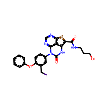 O=C(NCCCO)c1sc2ncnc3c2c1NC(=O)N3c1ccc(Oc2ccccc2)c(CI)c1